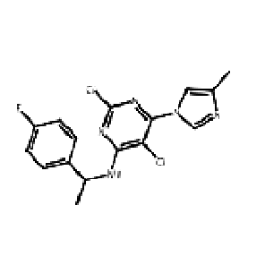 Cc1cn(-c2nc(Cl)nc(NC(C)c3ccc(F)cc3)c2Cl)cn1